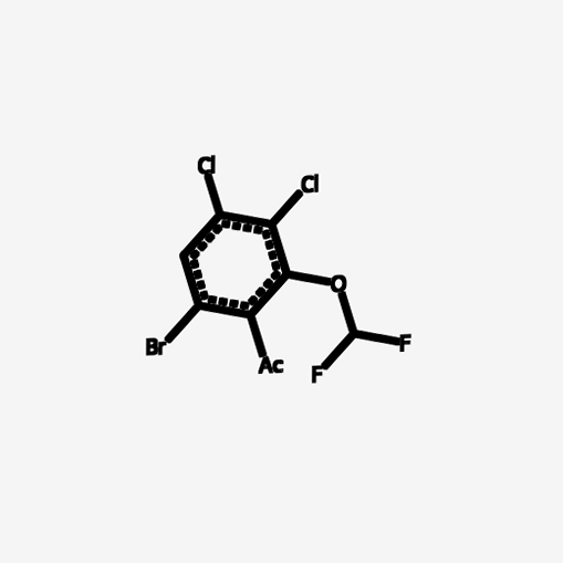 CC(=O)c1c(Br)cc(Cl)c(Cl)c1OC(F)F